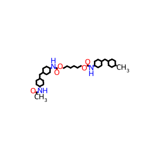 CC(=O)NC1CCC(CC2CCC(NC(=O)OCCCCCCOC(=O)NC3CCC(CC4CCC(C)CC4)CC3)CC2)CC1